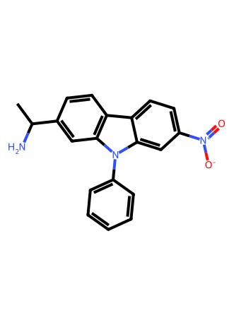 CC(N)c1ccc2c3ccc([N+](=O)[O-])cc3n(-c3ccccc3)c2c1